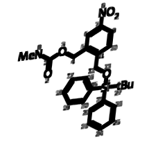 CNC(=O)OCc1cc([N+](=O)[O-])ccc1CO[Si](c1ccccc1)(c1ccccc1)C(C)(C)C